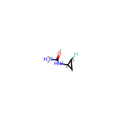 NC(=O)NC1CC1F